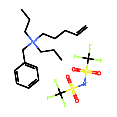 C=CCCC[N+](CCC)(CCC)Cc1ccccc1.O=S(=O)([N-]S(=O)(=O)C(F)(F)F)C(F)(F)F